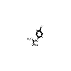 COC(C)Oc1ccc(Br)cc1